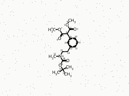 COC(=O)C(C(=O)OC)c1cccc(CCN(C)C(=O)OC(C)(C)C)c1